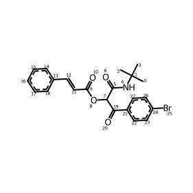 CC(C)(C)NC(=O)C(OC(=O)/C=C/c1ccccc1)C(=O)c1ccc(Br)cc1